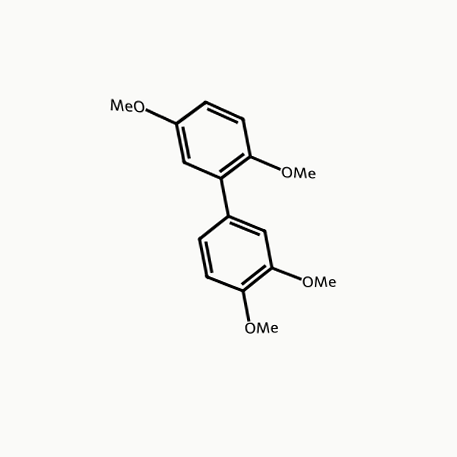 COc1ccc(OC)c(-c2ccc(OC)c(OC)c2)c1